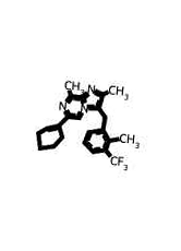 Cc1nc2c(C)nc(C3=CCCCC3)cn2c1Cc1cccc(C(F)(F)F)c1C